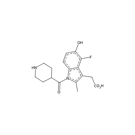 Cc1c(CC(=O)O)c2c(F)c(O)ccc2n1C(=O)C1CCNCC1